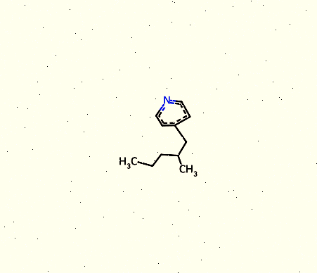 CCCC(C)Cc1ccncc1